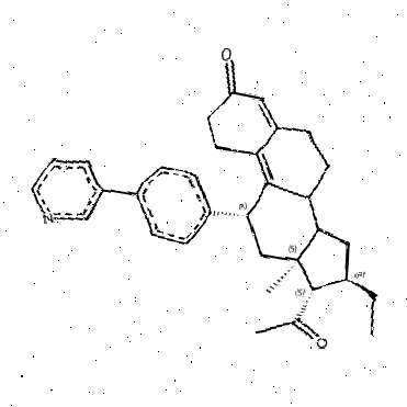 CC[C@@H]1CC2C3CCC4=CC(=O)CCC4=C3[C@@H](c3ccc(-c4cccnc4)cc3)C[C@]2(C)[C@H]1C(C)=O